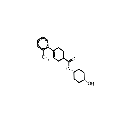 Cc1ccccc1C1=CCC(C(=O)N[C@H]2CC[C@@H](O)CC2)CC1